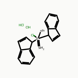 CC[CH2][Zr](=[SiH2])([Cl])([CH]1C=Cc2ccccc21)[CH]1C=Cc2ccccc21.Cl.Cl